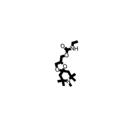 CCNC(=O)OCC1COC2(CC(C)(C)N(C)C(C)(C)C2)O1